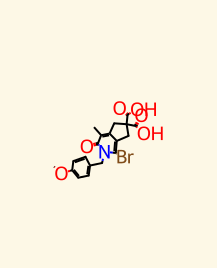 COc1ccc(Cn2c(Br)c3c(c(C)c2=O)CC(C(=O)O)(C(=O)O)C3)cc1